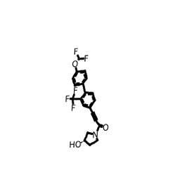 O=C(C#Cc1ccc(-c2ccc(OC(F)F)cc2)c(C(F)(F)F)c1)N1CC[C@H](O)C1